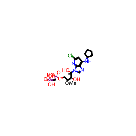 CO[C@H](COP(=O)(O)CP(=O)(O)O)[C@@H](O)[C@@H](O)n1cnc2c(NC3CCCC3)cc(Cl)nc21